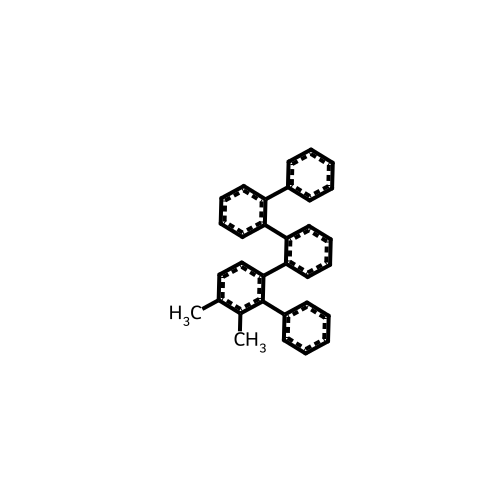 Cc1ccc(-c2ccccc2-c2ccccc2-c2ccccc2)c(-c2ccccc2)c1C